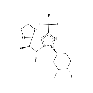 F[C@@H]1C[C@@H](n2nc(C(F)(F)F)c3c2[C@H](F)[C@@H](F)C32OCCO2)CC[C@@H]1F